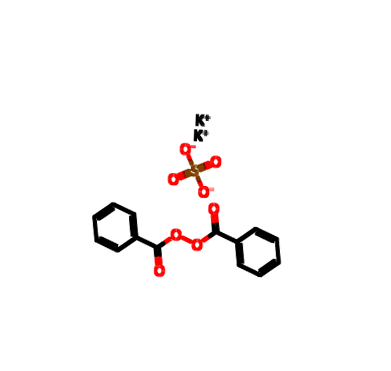 O=C(OOC(=O)c1ccccc1)c1ccccc1.O=S(=O)([O-])[O-].[K+].[K+]